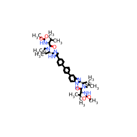 COC(=O)N[C@H](C(=O)N1C[Si](C)(C)C[C@H]1c1ncc(-c2ccc(-c3ccc(-c4ccc5[nH]c([C@@H]6C[Si](C)(C)CN6C(=O)[C@@H](NC(=O)OC)C(C)C)nc5c4)cc3)cc2)[nH]1)C(C)C